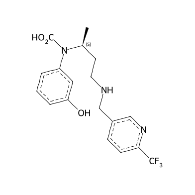 C[C@@H](CCNCc1ccc(C(F)(F)F)nc1)N(C(=O)O)c1cccc(O)c1